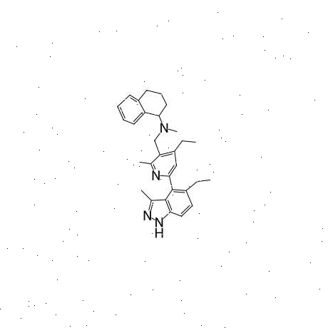 CCc1cc(-c2c(CC)ccc3[nH]nc(C)c23)nc(C)c1CN(C)C1CCCc2ccccc21